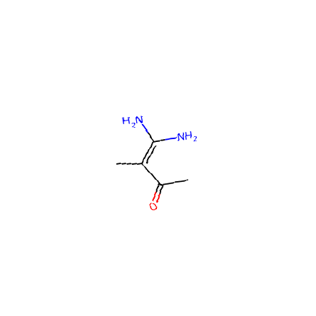 CC(=O)C(C)=C(N)N